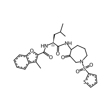 Cc1c(C(=O)N[C@@H](CC(C)C)C(=O)NC2CCCN(S(=O)(=O)c3cccs3)CC2=O)oc2ccccc12